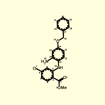 COC(=O)c1ccc(Cl)cc1Nc1ccc(OCc2ccccc2)cc1N